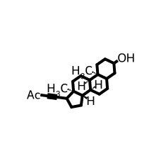 CC(=O)C#CC1CC[C@H]2[C@@H]3CCC4CC(O)CC[C@]4(C)[C@@H]3CC[C@]12C